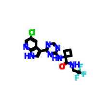 O=C(NCC(F)(F)F)C1(Nc2ncnc(-c3c[nH]c4ncc(Cl)cc34)n2)CCC1